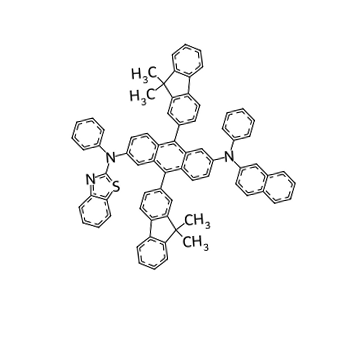 CC1(C)c2ccccc2-c2ccc(-c3c4ccc(N(c5ccccc5)c5nc6ccccc6s5)cc4c(-c4ccc5c(c4)C(C)(C)c4ccccc4-5)c4ccc(N(c5ccccc5)c5ccc6ccccc6c5)cc34)cc21